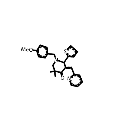 COc1ccc(CN2CC(C)(C)C(=O)C(=Cc3ccccn3)C2c2cccs2)cc1